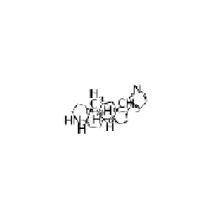 C[C@]12CCCN[C@H]1CC[C@@H]1[C@@H]2CC[C@]2(C)C(c3cccnc3)=CC[C@@H]12